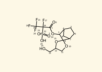 O=C(OC1C2CCC(C2)C12OCC(CO)O2)C(F)(C(F)(F)F)S(=O)(=O)O